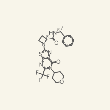 C[C@@H](NC(=O)[C@H]1CCN1c1nc2c(=O)n(C3CCOCC3)c(C(F)(F)F)nc2s1)c1ccccc1